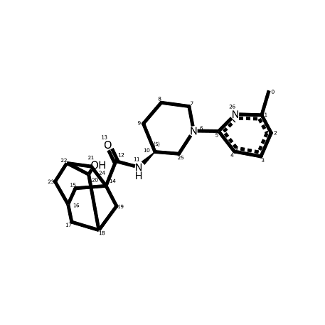 Cc1cccc(N2CCC[C@H](NC(=O)C34CC5CC(C3)C(O)C(C5)C4)C2)n1